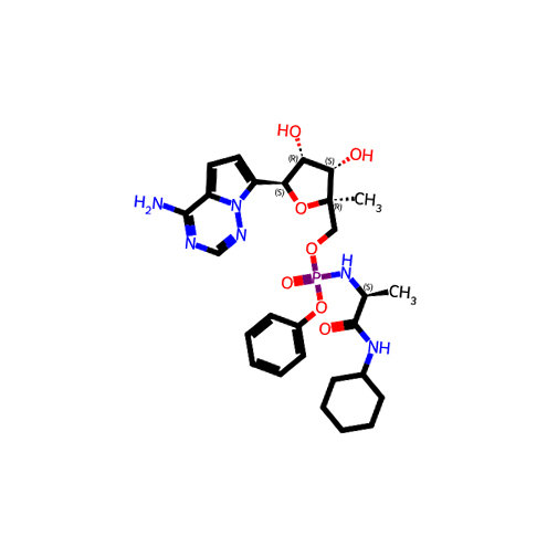 C[C@H](NP(=O)(OC[C@@]1(C)O[C@@H](c2ccc3c(N)ncnn23)[C@H](O)[C@@H]1O)Oc1ccccc1)C(=O)NC1CCCCC1